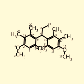 COc1cc(C)c(C(CI)c2c(C)cc(OC)c(C)c2C)c(C)c1C